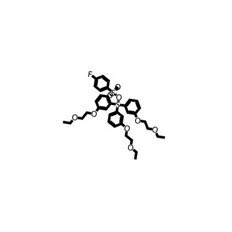 CCOCCOc1cccc(S(OS(=O)(=O)c2ccc(F)cc2)(c2cccc(OCCOCC)c2)c2cccc(OCCOCC)c2)c1